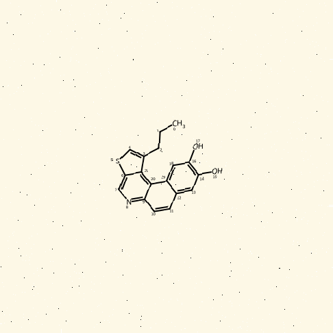 CCCc1csc2cnc3ccc4cc(O)c(O)cc4c3c12